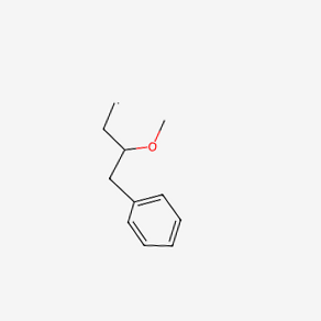 [CH2]CC(Cc1ccccc1)OC